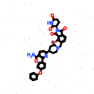 NC(=O)c1ccc(C2CCN(Cc3ccc4c(c3Br)C(=O)N(C3CCC(=O)NC3=O)C4=O)CC2)nc1-c1ccc(Oc2ccccc2)cc1